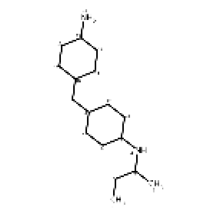 CCC(C)NC1CCC(CC2CCC(N)CC2)CC1